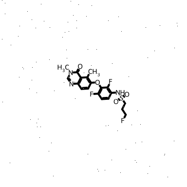 Cc1c(Oc2c(F)ccc(NS(=O)(=O)CCCF)c2F)ccc2ncn(C)c(=O)c12